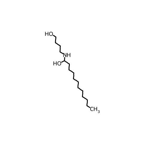 CCCCCCCCCCCC(O)NCCCCO